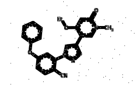 CCOc1cc(=O)n(C)cc1-c1cnn(-c2cc(Oc3ccccc3)ccc2C#N)c1